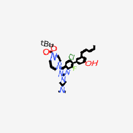 C/C=C\C=C/c1cc(O)cc(-c2c(Cl)cc3c(N4CCCN(C(=O)OC(C)(C)C)CC4)nc(N4CC(N(C)C)C4)nc3c2F)c1